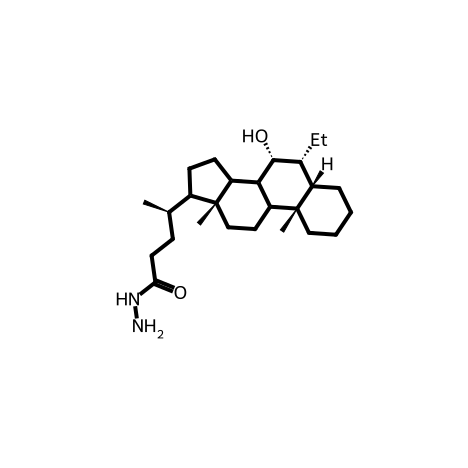 CC[C@H]1[C@@H](O)C2C3CCC([C@H](C)CCC(=O)NN)[C@@]3(C)CCC2[C@@]2(C)CCCC[C@@H]12